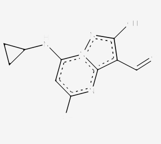 Cc1cc(NC2CC2)n2nc(C)c(C=O)c2n1